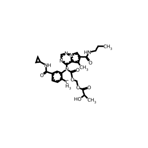 CCCNC(=O)c1cn2ncnc(N(C(=O)OCOC(=O)C(C)O)c3cc(C(=O)NC4CC4)ccc3C)c2c1C